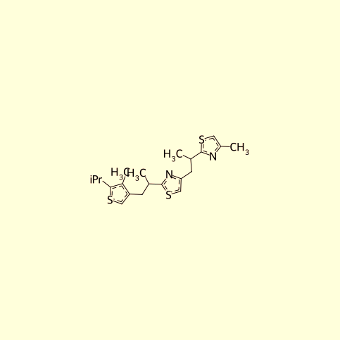 Cc1csc(C(C)Cc2csc(C(C)Cc3csc(C(C)C)c3C)n2)n1